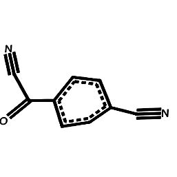 N#CC(=O)c1ccc(C#N)cc1